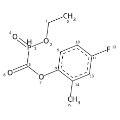 CCO[PH](=O)C(=O)Oc1ccc(F)cc1C